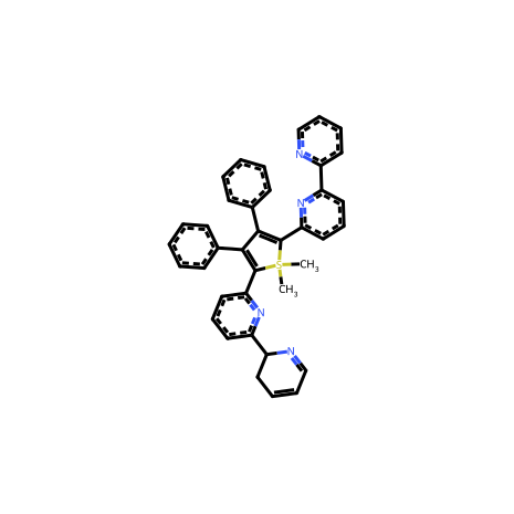 CS1(C)C(c2cccc(-c3ccccn3)n2)=C(c2ccccc2)C(c2ccccc2)=C1c1cccc(C2CC=CC=N2)n1